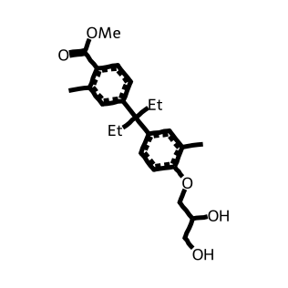 CCC(CC)(c1ccc(OCC(O)CO)c(C)c1)c1ccc(C(=O)OC)c(C)c1